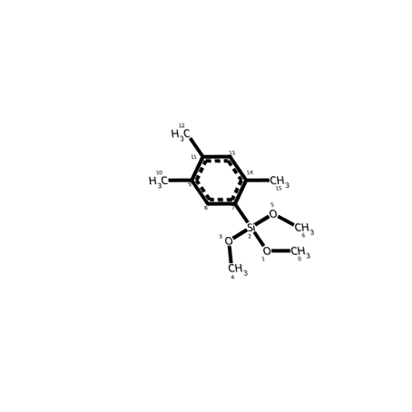 CO[Si](OC)(OC)c1cc(C)c(C)cc1C